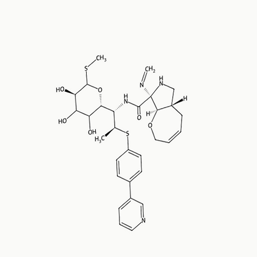 C=N[C@]1(C(=O)N[C@H]([C@H](C)Sc2ccc(-c3cccnc3)cc2)[C@H]2OC(SC)[C@H](O)C(O)C2O)NC[C@@H]2CC=CCO[C@H]21